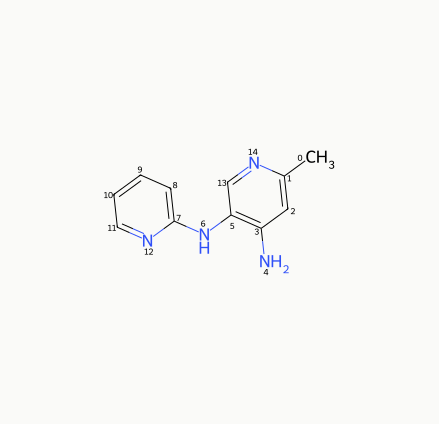 Cc1cc(N)c(Nc2ccccn2)cn1